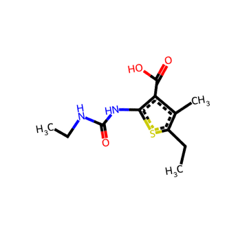 CCNC(=O)Nc1sc(CC)c(C)c1C(=O)O